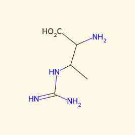 CC(NC(=N)N)C(N)C(=O)O